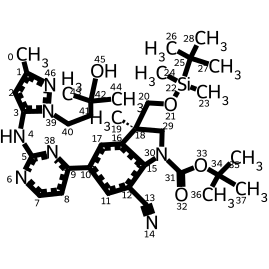 Cc1cc(Nc2nccc(-c3cc(C#N)c4c(c3)[C@@](C)(CO[Si](C)(C)C(C)(C)C)CN4C(=O)OC(C)(C)C)n2)n(CCC(C)(C)O)n1